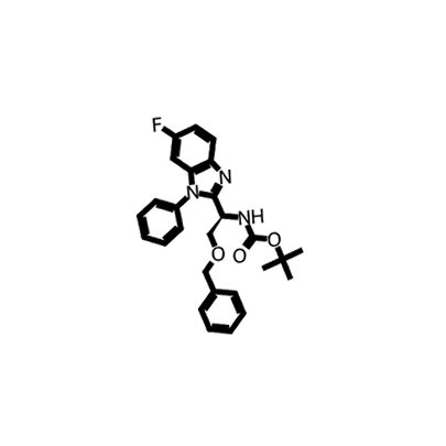 CC(C)(C)OC(=O)N[C@@H](COCc1ccccc1)c1nc2ccc(F)cc2n1-c1ccccc1